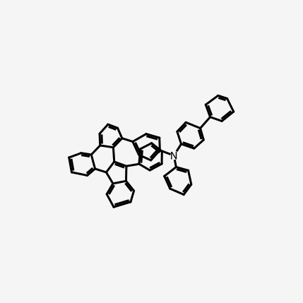 c1ccc(C2=C3c4c(-c5ccc(N(c6ccccc6)c6ccc(-c7ccccc7)cc6)cc5)cccc4-c4ccccc4C3c3ccccc32)cc1